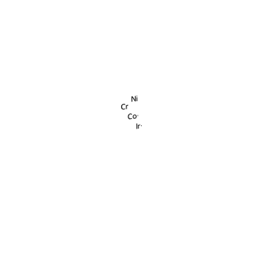 [Co].[Cr].[Ir].[Ni]